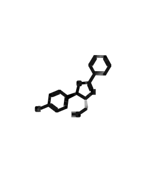 OC[C@H]1N=C(c2ccccc2)O[C@@H]1c1ccc(Cl)cc1